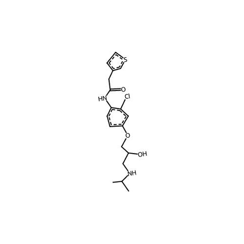 CC(C)NCC(O)COc1ccc(NC(=O)Cc2ccsc2)c(Cl)c1